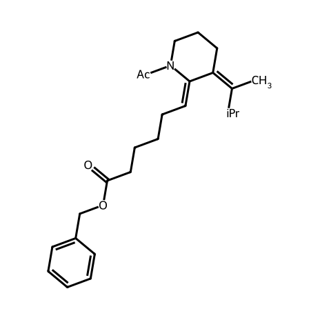 CC(=O)N1CCC/C(=C(\C)C(C)C)C1=CCCCCC(=O)OCc1ccccc1